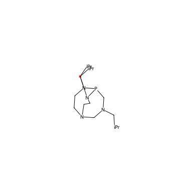 CC(C)CN1CN2CCN(CC(C)C)P(C1)N(CC(C)C)CC2